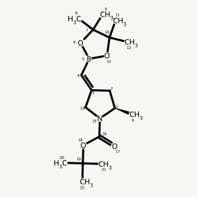 C[C@@H]1CC(=CB2OC(C)(C)C(C)(C)O2)CN1C(=O)OC(C)(C)C